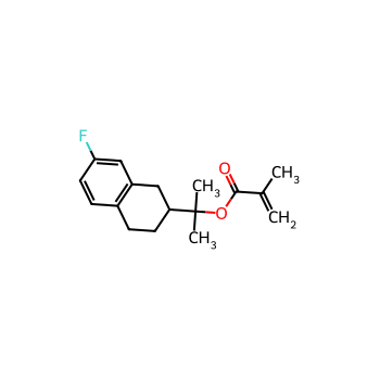 C=C(C)C(=O)OC(C)(C)C1CCc2ccc(F)cc2C1